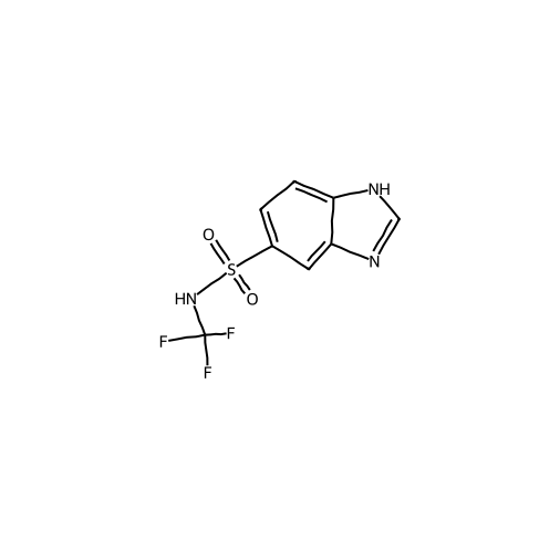 O=S(=O)(NC(F)(F)F)c1ccc2[nH]cnc2c1